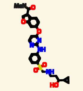 CNC(=O)c1coc2cc(Oc3ccnc(Nc4cccc(S(=O)(=O)CNCCC(O)C5CC5)c4)n3)ccc12